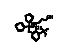 OCCCNCC(Cc1cccc(C(F)(F)F)c1Cl)(c1ccccc1)c1ccccc1